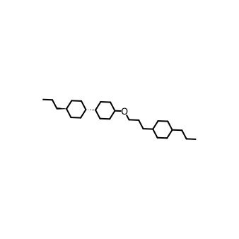 CCCC1CCC(CCCOC2CCC([C@H]3CC[C@H](CCC)CC3)CC2)CC1